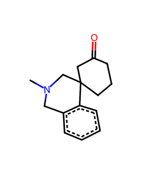 CN1Cc2ccccc2C2(CCCC(=O)C2)C1